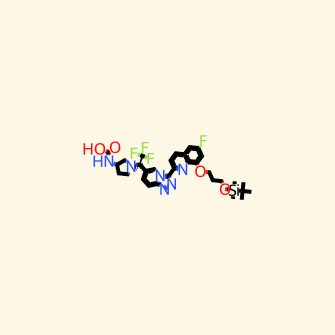 CC(C)(C)[Si](C)(C)OCCCOc1cc(F)cc2ccc(-c3nnc4ccc([C@@H](N5CCC(NC(=O)O)C5)C(F)(F)F)cn34)nc12